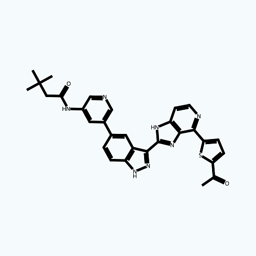 CC(=O)c1ccc(-c2nccc3[nH]c(-c4n[nH]c5ccc(-c6cncc(NC(=O)CC(C)(C)C)c6)cc45)nc23)s1